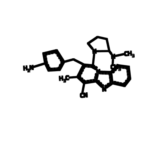 Cc1c(Cc2ccc(N)cc2)c(N2CCCC2N(C)C)n2c(nc3ccccc32)c1C#N